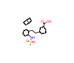 CS(=O)(=O)Nc1ccccc1CCc1cccc(C(=O)O)c1.c1cc2ccc1-2